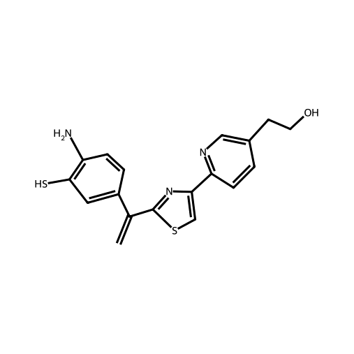 C=C(c1ccc(N)c(S)c1)c1nc(-c2ccc(CCO)cn2)cs1